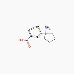 NC1(c2cccc(C(=O)O)c2)CCCC1